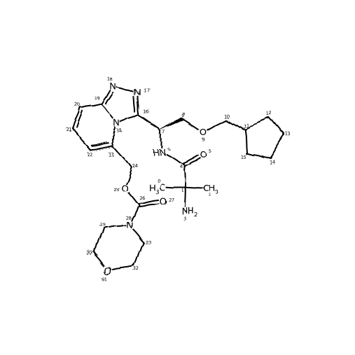 CC(C)(N)C(=O)N[C@H](COCC1CCCC1)c1nnc2cccc(COC(=O)N3CCOCC3)n12